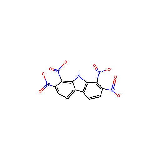 O=[N+]([O-])c1ccc2c([nH]c3c([N+](=O)[O-])c([N+](=O)[O-])ccc32)c1[N+](=O)[O-]